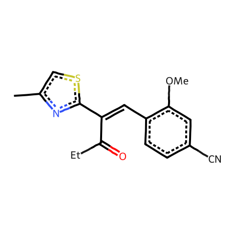 CCC(=O)/C(=C\c1ccc(C#N)cc1OC)c1nc(C)cs1